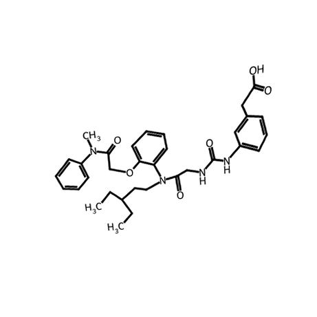 CCC(CC)CCN(C(=O)CNC(=O)Nc1cccc(CC(=O)O)c1)c1ccccc1OCC(=O)N(C)c1ccccc1